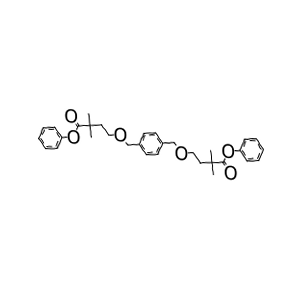 CC(C)(CCOCc1ccc(COCCC(C)(C)C(=O)Oc2ccccc2)cc1)C(=O)Oc1ccccc1